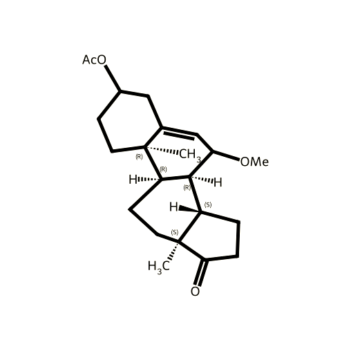 COC1C=C2CC(OC(C)=O)CC[C@]2(C)[C@@H]2CC[C@]3(C)C(=O)CC[C@H]3[C@H]12